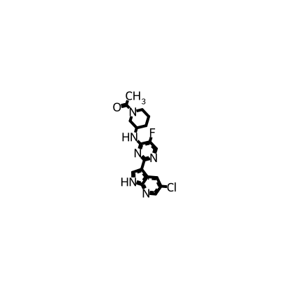 CC(=O)N1CCCC(Nc2nc(-c3c[nH]c4ncc(Cl)cc34)ncc2F)C1